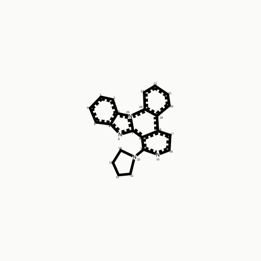 c1ccc2c(c1)nc1c3c(N4CCCC4)nccc3c3ccccc3n21